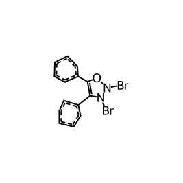 BrN1OC(c2ccccc2)=C(c2ccccc2)N1Br